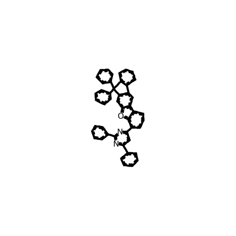 c1ccc(-c2cc(-c3cccc4c3oc3cc5c(cc34)-c3ccccc3C5(c3ccccc3)c3ccccc3)nc(-c3ccccc3)n2)cc1